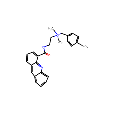 C[N+](C)(CCNC(=O)c1cccc2cc3ccccc3nc12)Cc1ccc([N+](=O)[O-])cc1